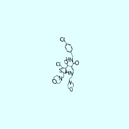 O=C(NCc1ccc(Cl)cc1)C(=CNCCN1CCOCC1)C(=O)c1cc(CN2CCOCC2)sc1Cl